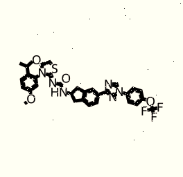 COc1ccc(C(C)C)c(N2C(=O)CSC2=NC(=O)NC2Cc3ccc(-c4ncn(-c5ccc(OC(F)(F)F)cc5)n4)cc3C2)c1